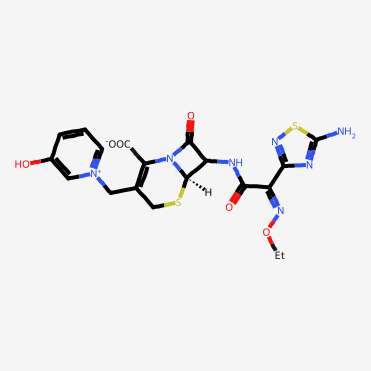 CCO/N=C(\C(=O)NC1C(=O)N2C(C(=O)[O-])=C(C[n+]3cccc(O)c3)CS[C@H]12)c1nsc(N)n1